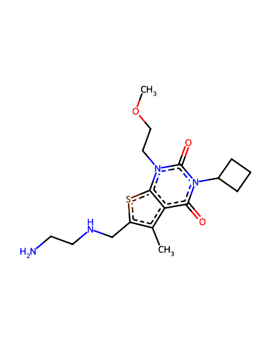 COCCn1c(=O)n(C2CCC2)c(=O)c2c(C)c(CNCCN)sc21